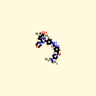 CN(C)C1CCN(C(=O)c2ccc(NC(=O)Nc3ccc(-c4nc(N5CCOCC5)c5ccc(C(C)(C)O)n5n4)cc3)cc2)CC1